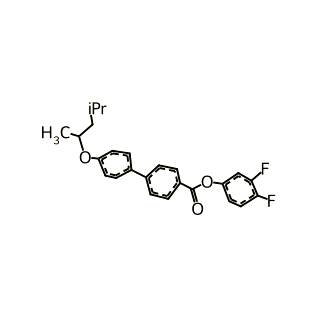 CC(C)CC(C)Oc1ccc(-c2ccc(C(=O)Oc3ccc(F)c(F)c3)cc2)cc1